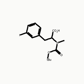 CN(C(=O)OC(C)(C)C)C(Cc1cccc(I)c1)C(=O)O